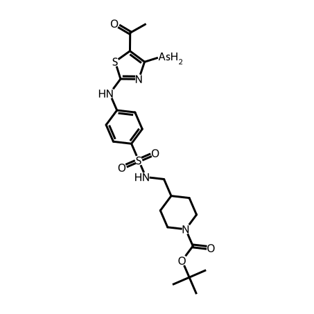 CC(=O)c1sc(Nc2ccc(S(=O)(=O)NCC3CCN(C(=O)OC(C)(C)C)CC3)cc2)nc1[AsH2]